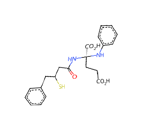 O=C(O)CC[C@@](NC(=O)CC(S)Cc1ccccc1)(Nc1ccccc1)C(=O)O